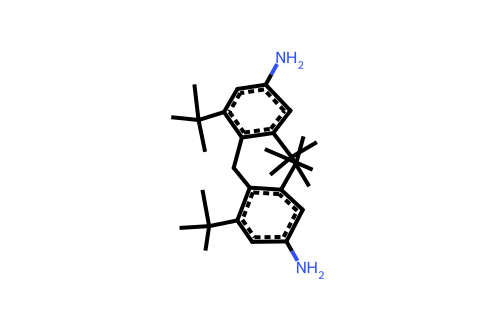 CC(C)(C)c1cc(N)cc(C(C)(C)C)c1Cc1c(C(C)(C)C)cc(N)cc1C(C)(C)C